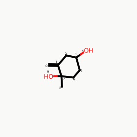 C=C1CC(O)CCC1(C)O